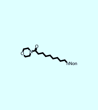 CCCCCCCCCCCCCCCCCC(=O)N1CCOCC1